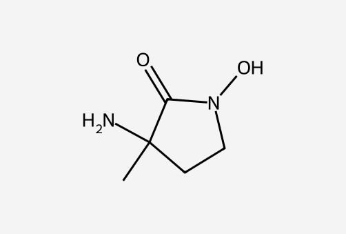 CC1(N)CCN(O)C1=O